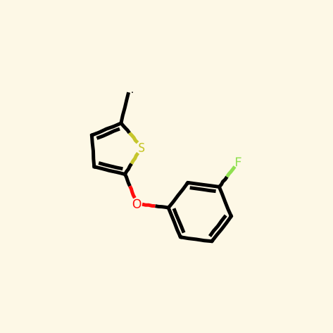 [CH2]c1ccc(Oc2cccc(F)c2)s1